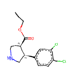 CCOC(=O)[C@@H]1CNC[C@@H]1c1ccc(Cl)c(Cl)c1